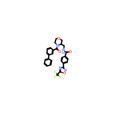 O=C(NCC1COCCN1C(=O)c1cccc(-c2ccccc2)c1)c1ccc(-c2noc(C(F)(F)F)n2)cc1